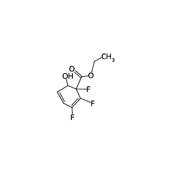 CCOC(=O)C1(F)C(F)=C(F)C=CC1O